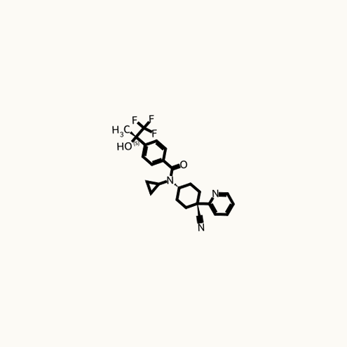 C[C@](O)(c1ccc(C(=O)N(C2CC2)[C@H]2CC[C@@](C#N)(c3ccccn3)CC2)cc1)C(F)(F)F